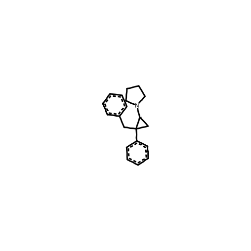 c1ccc(CC2(c3ccccc3)C[C]2N2CCCC2)cc1